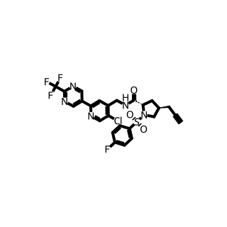 C#CC[C@@H]1C[C@@H](C(=O)NCc2cc(-c3cnc(C(F)(F)F)nc3)ncc2Cl)N(S(=O)(=O)c2ccc(F)cc2)C1